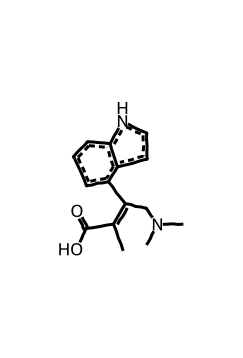 CC(C(=O)O)=C(CN(C)C)c1cccc2[nH]ccc12